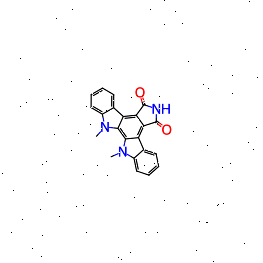 Cn1c2ccccc2c2c3c(c4c5ccccc5n(C)c4c21)C(=O)NC3=O